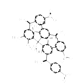 C=C(c1ccc([N+](=O)[O-])cc1)c1cc(C)c(OC)c(C(OC)(c2cc(C(=C)c3ccc([N+](=O)[O-])cc3)cc(C)c2OC)c2cc(C(=C)c3ccc([N+](=O)[O-])cc3)cc(C)c2OC)c1